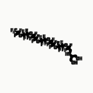 OCC(CO)NCC(F)(F)OC(F)(F)C(F)(F)OC(F)(F)C(F)(F)OC(F)(F)C(F)(F)OC(F)(F)C(F)(F)OC(F)(F)C(F)(F)OC(F)(F)C(F)(F)F